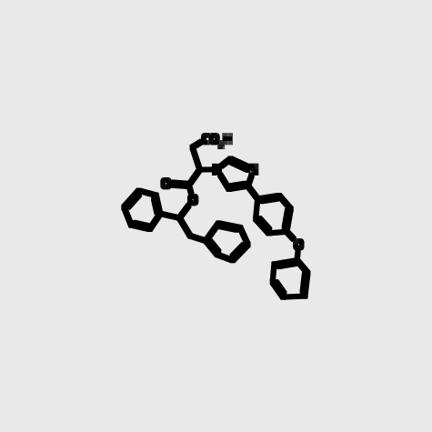 O=C(O)CC(C(=O)OC(Cc1ccccc1)c1ccccc1)n1cnc(-c2ccc(Oc3ccccc3)cc2)c1